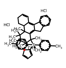 Cl.Cl.[CH2]=[Ti]([C]1=CC=CC1)([c]1ccc(C)cc1)([c]1ccc(C)cc1)[C]1(C)C2=C3Cc4ccccc4C3=C3C=CCCC3C2(C)C(C)(C)C(C)(C)C1(C)C